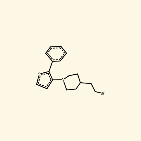 BrCCC1CCN(c2ccsc2-c2ccccc2)CC1